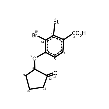 CCc1c(C(=O)O)ccc(OC2CCCC2=O)c1Br